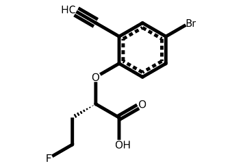 C#Cc1cc(Br)ccc1O[C@@H](CCF)C(=O)O